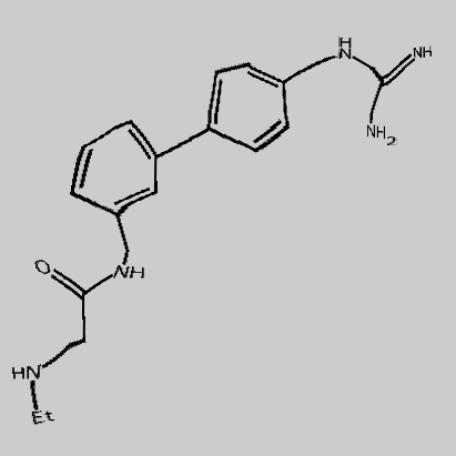 CCNCC(=O)Nc1cccc(-c2ccc(NC(=N)N)cc2)c1